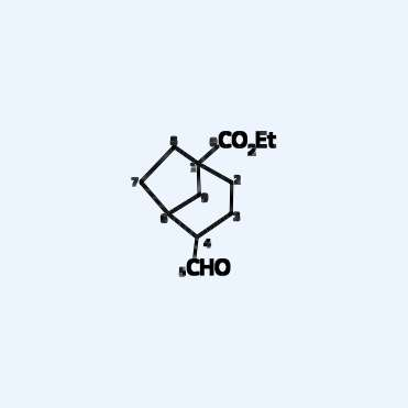 CCOC(=O)C12CCC(C=O)C(CC1)C2